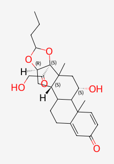 CCCC1O[C@@H]2C[C@H]3C4CCC5=CC(=O)C=CC5(C)C4[C@@H](O)CC3(C)[C@]2(C(=O)CO)O1